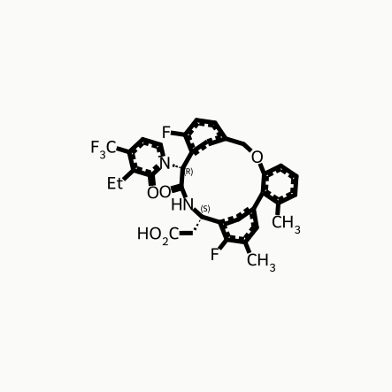 CCc1c(C(F)(F)F)ccn([C@H]2C(=O)N[C@@H](CC(=O)O)c3cc(cc(C)c3F)-c3c(C)cccc3OCc3ccc(F)c2c3)c1=O